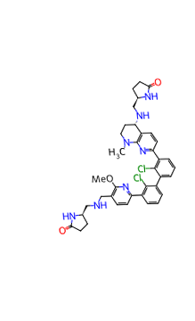 COc1nc(-c2cccc(-c3cccc(-c4ccc5c(n4)N(C)CC[C@@H]5NC[C@H]4CCC(=O)N4)c3Cl)c2Cl)ccc1CNC[C@H]1CCC(=O)N1